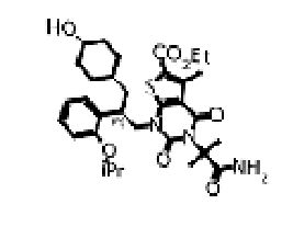 CCOC(=O)c1sc2c(c1C)c(=O)n(C(C)(C)C(N)=O)c(=O)n2C[C@H](C[C@H]1CC[C@H](O)CC1)c1ccccc1OC(C)C